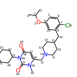 CC(C)Oc1ccc(Cl)c(CC2CCN(Cc3cc(=O)n(C4CCCCC4)c(=O)n3C)CC2)c1